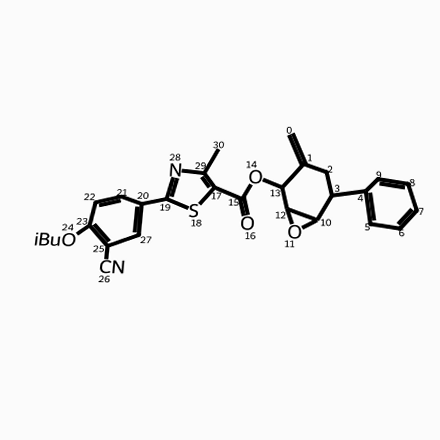 C=C1CC(c2ccccc2)C2OC2C1OC(=O)c1sc(-c2ccc(OCC(C)C)c(C#N)c2)nc1C